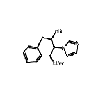 CCCCCCCCCCCC(C(CCCC)Cc1ccccc1)n1ccnc1